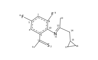 CC(=S)c1cc(F)cc(F)c1/N=C(\C)CC1CC1